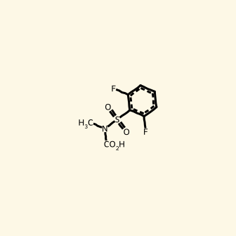 CN(C(=O)O)S(=O)(=O)c1c(F)cccc1F